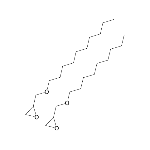 CCCCCCCCCCOCC1CO1.CCCCCCCCCOCC1CO1